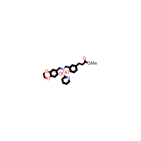 COC(=O)CCc1cccc(CN(Cc2ccc3c(c2)OCCO3)S(=O)(=O)c2ccccn2)c1